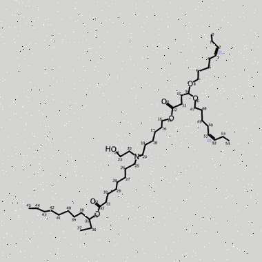 CC/C=C\CCCCOC(CCC(=O)OCCCCCCN(CCO)CCCCCCCC(=O)OC(CC)CCCCCCCC)OCCCC/C=C\CC